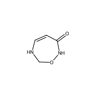 O=C1C=CNCON1